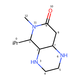 CC(C)C1C2NCCNC2CC(=O)N1C